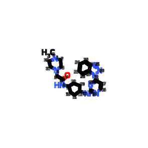 CN1CCN(CC(=O)NC2CCC(Nc3nccc(-n4nnc5ccccc54)n3)CC2)CC1